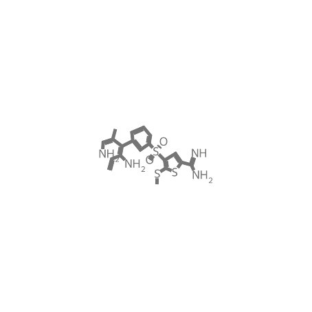 C=C/C(N)=C(\C(C)=C/N)c1cccc(S(=O)(=O)c2cc(C(=N)N)sc2SC)c1